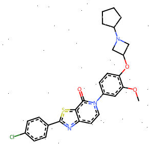 COc1cc(-n2ccc3nc(-c4ccc(Cl)cc4)sc3c2=O)ccc1OC1CN(C2CCCC2)C1